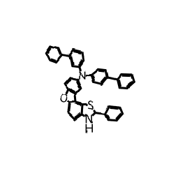 c1ccc(-c2ccc(N(c3cccc(-c4ccccc4)c3)c3ccc4oc5ccc6c(c5c4c3)SC(c3ccccc3)N6)cc2)cc1